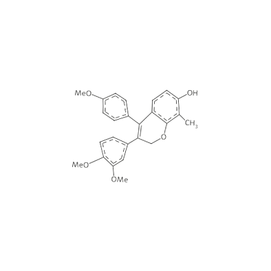 COc1ccc(C2=C(c3ccc(OC)c(OC)c3)COc3c2ccc(O)c3C)cc1